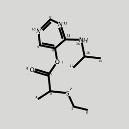 CCSC(C)C(=O)Oc1cncnc1NC(C)C